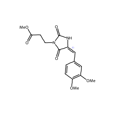 COC(=O)CCN1C(=O)N/C(=C/c2ccc(OC)c(OC)c2)C1=O